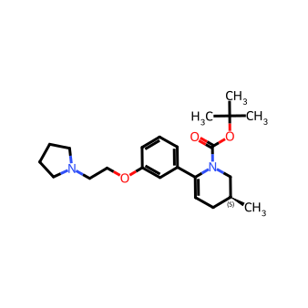 C[C@H]1CC=C(c2cccc(OCCN3CCCC3)c2)N(C(=O)OC(C)(C)C)C1